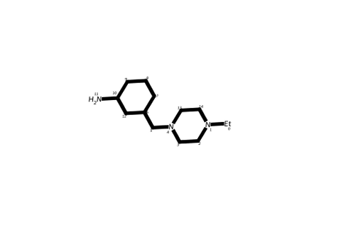 CCN1CCN(CC2CCCC(N)C2)CC1